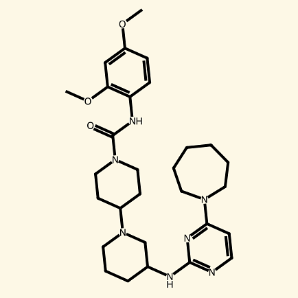 COc1ccc(NC(=O)N2CCC(N3CCCC(Nc4nccc(N5CCCCCC5)n4)C3)CC2)c(OC)c1